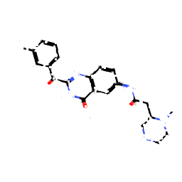 CN1CCNCC1CC(=O)Nc1ccc2nc(C(=O)c3cccc(C(F)(F)F)c3)[nH]c(=O)c2c1